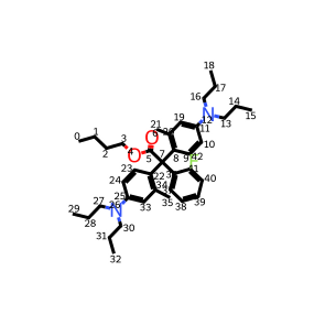 CCCCOC(=O)C(c1ccc(N(CCC)CCC)cc1C)(c1ccc(N(CCC)CCC)cc1C)c1ccccc1F